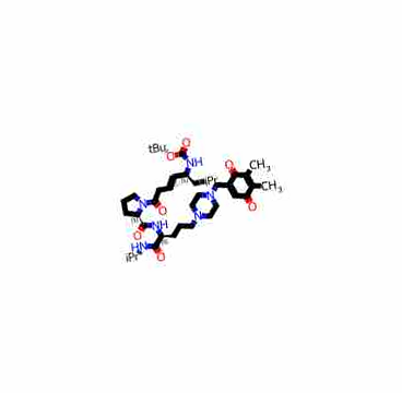 CC1=C(C)C(=O)C(CN2CCN(CCC[C@H](NC(=O)[C@@H]3CCCN3C(=O)C/C=C/[C@H](CC(C)C)NC(=O)OC(C)(C)C)C(=O)NC(C)C)CC2)=CC1=O